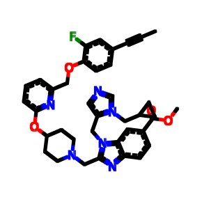 CC#Cc1ccc(OCc2cccc(OC3CCN(Cc4nc5ccc(C(=O)OC)cc5n4Cc4cncn4CC4CC4)CC3)n2)c(F)c1